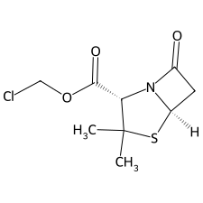 CC1(C)S[C@@H]2CC(=O)N2[C@H]1C(=O)OCCl